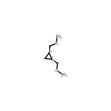 O=[N+]([O-])OC[C@@H]1C[C@@H]1CO[N+](=O)[O-]